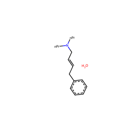 CCCN(CC=CCc1ccccc1)CCC.O